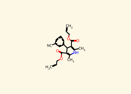 C=CCOC(=O)C1=C(C)NC(C)=C(C(=O)OCC=C)C1c1cccc(C#N)c1